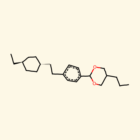 CCCC1COC(c2ccc(CC[C@H]3CC[C@H](CC)CC3)cc2)OC1